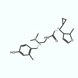 Cc1cc(O)ccc1C[C@@H](CNC(=O)C[C@H](C1CC1)C1C=COC1C)N(C)C